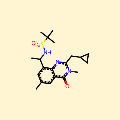 Cc1cc(C(C)N[S@+]([O-])C(C)(C)C)c2nc(CC3CC3)n(C)c(=O)c2c1